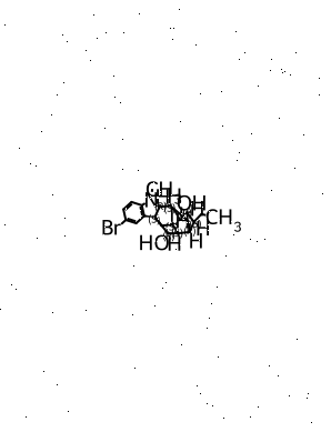 CC[C@H]1[C@@H]2C[C@H]3[C@@H]4N(C)c5ccc(Br)cc5[C@@]45C[C@@H]([C@H]2[C@H]5O)N3[C@@H]1O